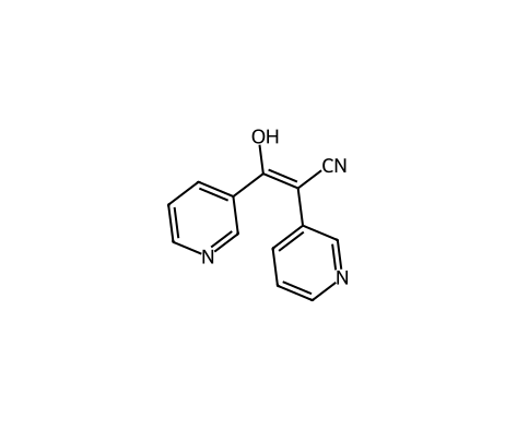 N#CC(=C(O)c1cccnc1)c1cccnc1